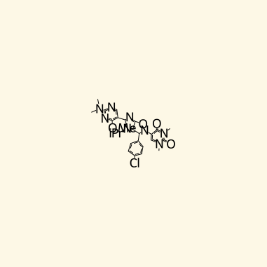 COc1nc(N(C)C)ncc1C1N=C2ON(c3cn(C)c(=O)n(C)c3=O)C(c3ccc(Cl)cc3)C2N1C(C)C